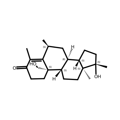 CC1=C2[C@@H](C)C[C@@H]3[C@H](CC[C@@]4(C)[C@H]3CC[C@]4(C)O)[C@@]2(CO)CCC1=O